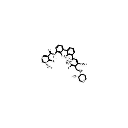 C=C(/C=C(OC)\C(CN[C@@H]1CCOC[C@@H]1O)=C(/C)F)c1cccc(-c2cccc(NC(=O)c3cncn(C)c3=O)c2C)c1C